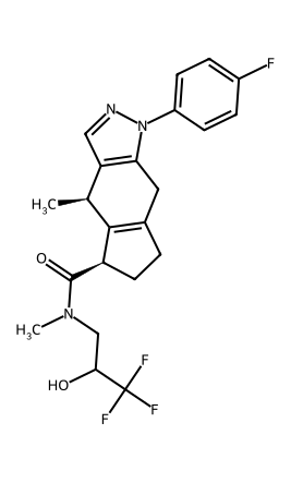 C[C@@H]1C2=C(CC[C@H]2C(=O)N(C)CC(O)C(F)(F)F)Cc2c1cnn2-c1ccc(F)cc1